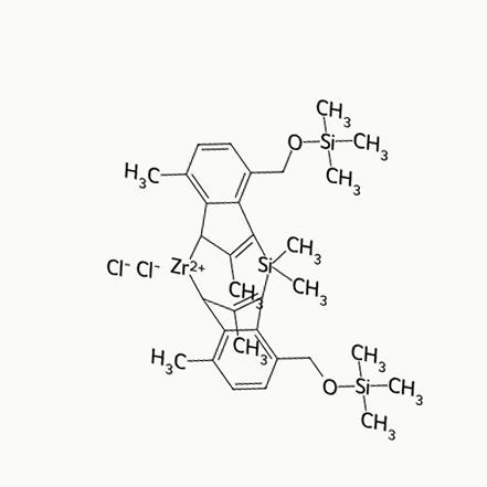 CC1=C2c3c(CO[Si](C)(C)C)ccc(C)c3[CH]1[Zr+2][CH]1C(C)=C(c3c(CO[Si](C)(C)C)ccc(C)c31)[Si]2(C)C.[Cl-].[Cl-]